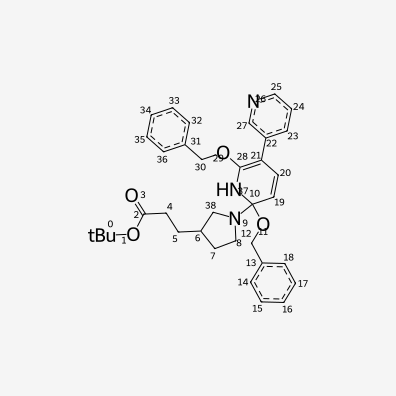 CC(C)(C)OC(=O)CCC1CCN(C2(OCc3ccccc3)C=CC(c3cccnc3)=C(OCc3ccccc3)N2)C1